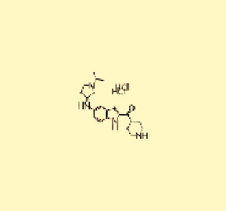 CC(C)N1CCC(Nc2ccc3[nH]c(C(=O)C4CCNCC4)cc3c2)C1.Cl.Cl